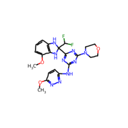 COc1ccc(Nc2nc(N3CCOCC3)nc(C3(C(F)F)Nc4cccc(OC)c4N3)n2)nn1